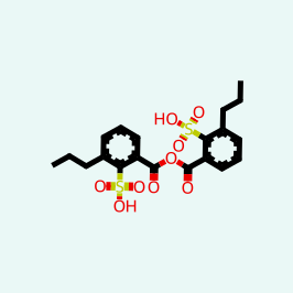 CCCc1cccc(C(=O)OC(=O)c2cccc(CCC)c2S(=O)(=O)O)c1S(=O)(=O)O